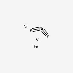 [Fe].[Ni].[P]#[Ni]#[P].[V]